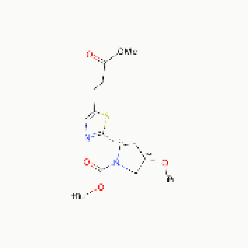 COC(=O)CCc1cnc([C@@H]2C[C@H](OC(C)C)CN2C(=O)OC(C)(C)C)s1